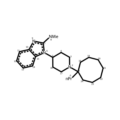 CCCC1(N2CCC(n3c(NC)nc4ccccc43)CC2)CCCCCCC1